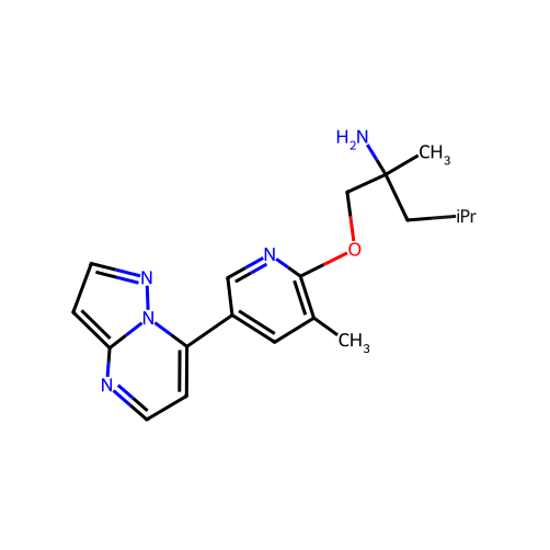 Cc1cc(-c2ccnc3ccnn23)cnc1OCC(C)(N)CC(C)C